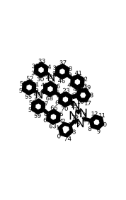 C1=CCC(c2nc(-c3ccccc3)nc(-n3c4ccccc4c4cc(-c5cc(N(c6ccccc6)c6cccc(-c7ccccc7)c6)cc(N(c6ccccc6)c6cccc(-c7ccccc7)c6)c5)ccc43)n2)C=C1